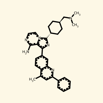 Cc1cc(-c2ccccc2)nc2cc(-c3nc([C@H]4CC[C@H](CN(C)C)CC4)n4ccnc(N)c34)ccc12